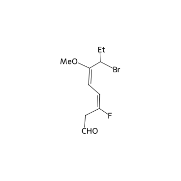 CCC(Br)/C(=C\C=C(\F)CC=O)OC